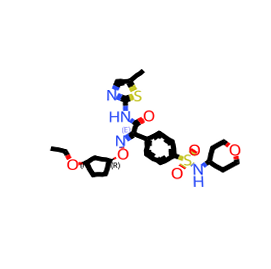 CCO[C@@H]1CC[C@@H](O/N=C(/C(=O)Nc2ncc(C)s2)c2ccc(S(=O)(=O)NC3CCOCC3)cc2)C1